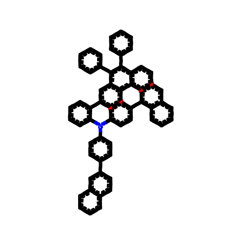 c1ccc(-c2c(-c3ccccc3)c3cc(-c4ccccc4N(c4ccc(-c5ccc6ccccc6c5)cc4)c4ccc(-c5cccc6ccccc56)cc4)ccc3c3ccccc23)cc1